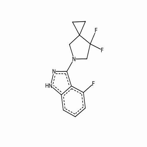 Fc1cccc2[nH]nc(N3CC(F)(F)C4(CC4)C3)c12